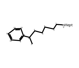 CCCCCCCCCCCC[C](C)c1ccccc1